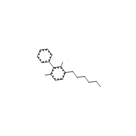 CCCCCCc1ccc(S)c(-c2ccccc2)c1O